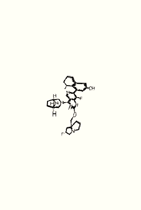 C[C@H]1CCCc2cc(O)cc(-c3ncc4c(N5C[C@H]6CC[C@@H](C5)N6)nc(OC[C@@]56CCCN5C[C@H](F)C6)nc4c3F)c21